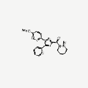 COc1ccc(-n2nc(C(=O)N3CCCCN3)cc2-c2ccccn2)nn1